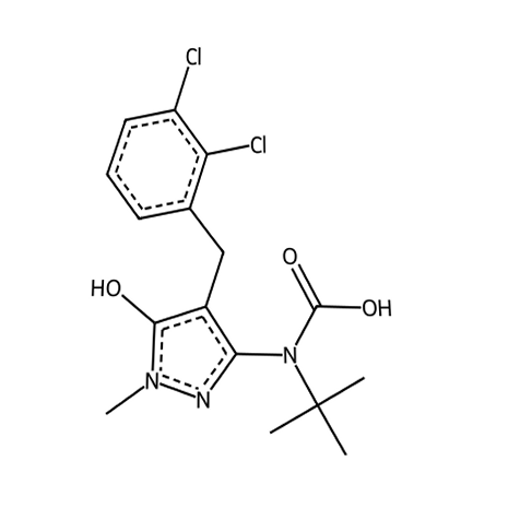 Cn1nc(N(C(=O)O)C(C)(C)C)c(Cc2cccc(Cl)c2Cl)c1O